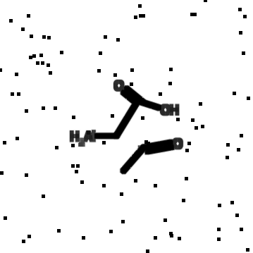 C[C]=O.O=C(O)[CH2][AlH2]